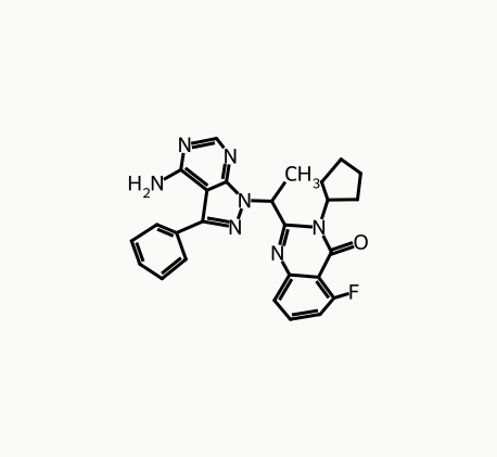 CC(c1nc2cccc(F)c2c(=O)n1C1CCCC1)n1nc(-c2ccccc2)c2c(N)ncnc21